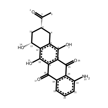 CC(=O)[C@@H]1Cc2c(O)c3c(c(O)c2[C@H](O)C1)C(=O)c1cccc(N)c1C3=O